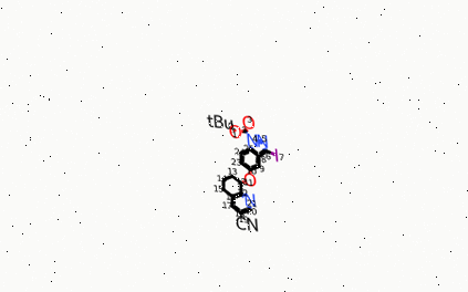 CC(C)(C)OC(=O)n1nc(I)c2cc(OC3CCCc4cc(C#N)cnc43)ccc21